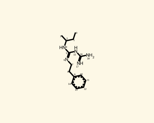 CCC(C)NC(=NCCc1ccccc1)NC(=N)N